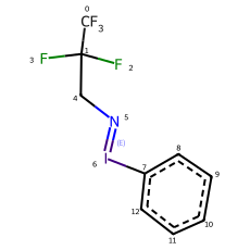 FC(F)(F)C(F)(F)C/N=I/c1ccccc1